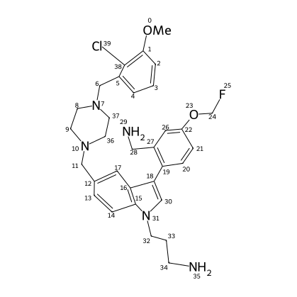 COc1cccc(CN2CCN(Cc3ccc4c(c3)c(-c3ccc(OCF)cc3CN)cn4CCCN)CC2)c1Cl